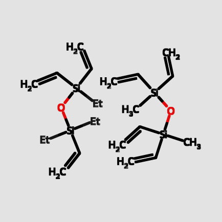 C=C[Si](C)(C=C)O[Si](C)(C=C)C=C.C=C[Si](C=C)(CC)O[Si](C=C)(CC)CC